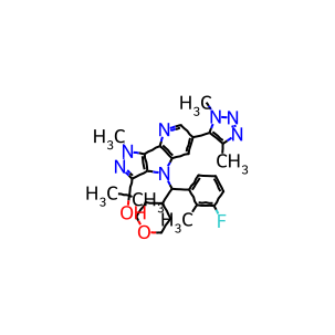 Cc1nnn(C)c1-c1cnc2c3c(c(C(C)(C)O)nn3C)n(C(c3cccc(F)c3C)C3CCOCC3)c2c1